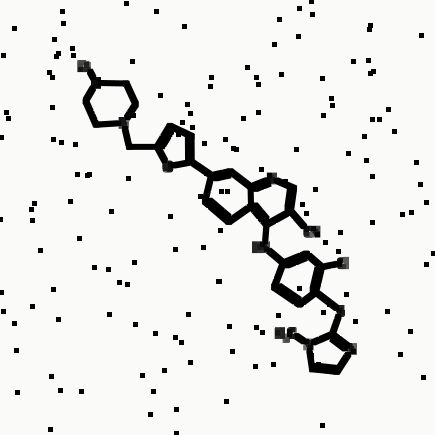 CCN1CCN(Cc2ccc(-c3ccc4c(Nc5ccc(Sc6nccn6C)c(Cl)c5)c(C#N)cnc4c3)o2)CC1